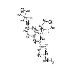 Nc1ncc(-c2nc(N3CCOCC3)c3nc(N4CC5(COC5)C4)ccc3n2)cn1